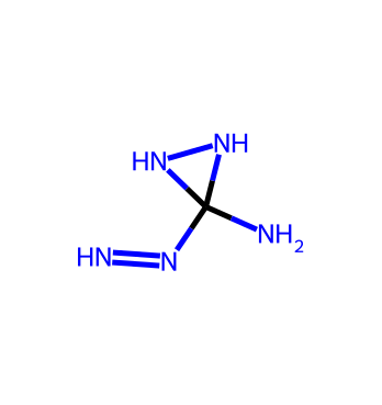 N=NC1(N)NN1